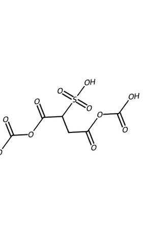 O=C(O)OC(=O)CC(C(=O)OC(=O)O)S(=O)(=O)O